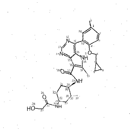 Cc1ccc(OCC2CC2)c(-c2ncnc3c(C(=O)N[C@@H]4CC[C@H](NC(=O)CO)C[C@H]4C)c(C)[nH]c23)c1